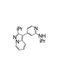 CC(C)Nc1cc(-c2c(C(C)C)nn3ccccc23)ccn1